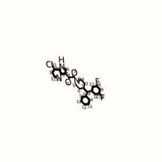 O=C(C(=O)N1CCC(=C(c2ccccc2)c2cc(F)cc(F)c2)CC1)c1c[nH]c2c(Cl)ccnc12